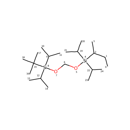 CCC(C)[Si](OCO[Si](C(C)C)(C(C)C)C(C)(C)C)(C(C)C)C(C)C